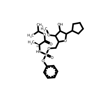 COC1C(COP(=O)(N[C@@H](C)C(=O)OC(C)C)Oc2ccccc2)OC(C2CCCC2)C1O